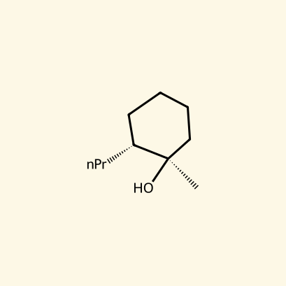 CCC[C@@H]1CCCC[C@@]1(C)O